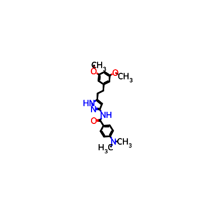 COc1cc(CCc2cc(NC(=O)c3ccc(N(C)C)cc3)n[nH]2)cc(OC)c1